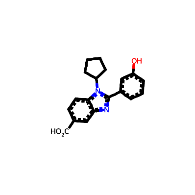 O=C(O)c1ccc2c(c1)nc(-c1cccc(O)c1)n2C1CCCC1